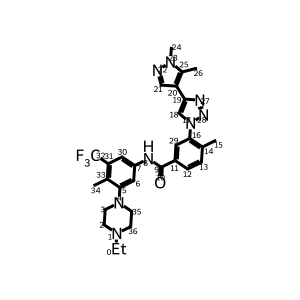 CCN1CCN(c2cc(NC(=O)c3ccc(C)c(-n4cc(-c5cnn(C)c5C)nn4)c3)cc(C(F)(F)F)c2C)CC1